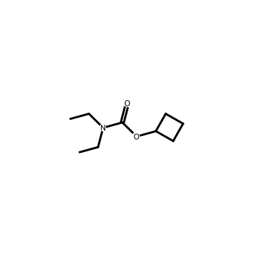 CCN(CC)C(=O)OC1CCC1